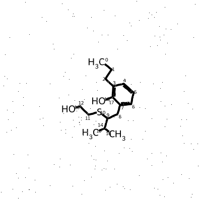 CCCc1cccc(CC(SCCO)C(C)C)c1O